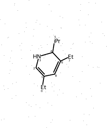 CCC1=CNC(C(C)C)C(CC)=C1